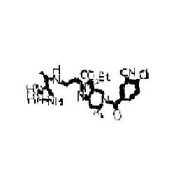 CCOC(=O)c1c2c(nn1CCNC(C)C1=CNNN1)C[C@@H](C)N(C(=O)c1ccc(Cl)c(C#N)c1)C2